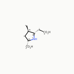 C[C@@H]1C[C@@H](C(=O)O)N[C@H]1CC(=O)O